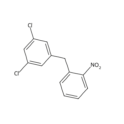 O=[N+]([O-])c1ccccc1Cc1cc(Cl)cc(Cl)c1